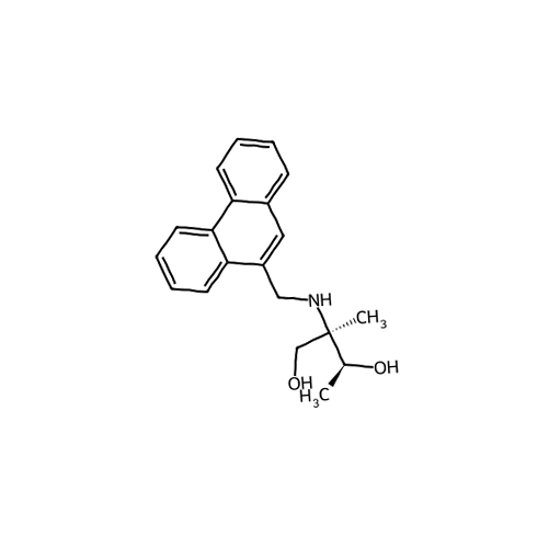 C[C@H](O)[C@@](C)(CO)NCc1cc2ccccc2c2ccccc12